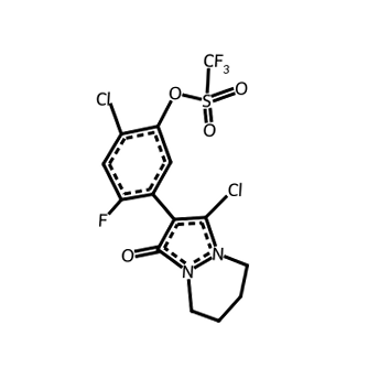 O=c1c(-c2cc(OS(=O)(=O)C(F)(F)F)c(Cl)cc2F)c(Cl)n2n1CCCC2